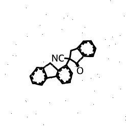 N#CC1(c2cccc3c2Cc2ccccc2-3)Cc2ccccc2C1=O